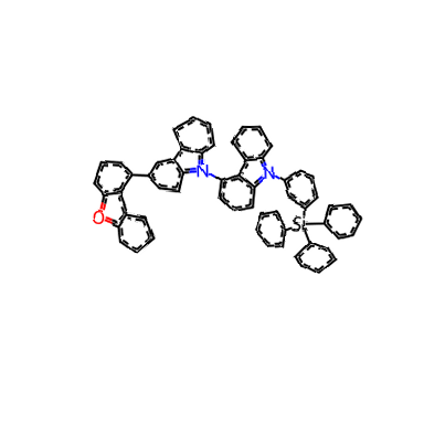 c1ccc([Si](c2ccccc2)(c2ccccc2)c2cccc(-n3c4ccccc4c4c(-n5c6ccccc6c6cc(-c7cccc8oc9ccccc9c78)ccc65)cccc43)c2)cc1